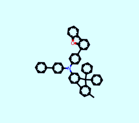 Cc1ccc2c(c1)C(c1ccccc1)(c1ccccc1)c1cc(N(c3ccc(-c4ccccc4)cc3)c3ccc(-c4cccc5c4oc4ccccc45)cc3)ccc1-2